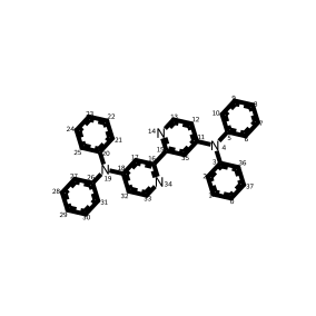 c1ccc(N(c2ccccc2)c2ccnc(-c3cc(N(c4ccccc4)c4ccccc4)ccn3)c2)cc1